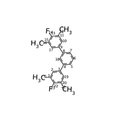 Cc1cc(-c2cccc(-c3cc(C)c(F)c(C)c3)c2)cc(C)c1F